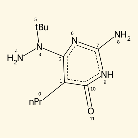 CCCc1c(N(N)C(C)(C)C)nc(N)[nH]c1=O